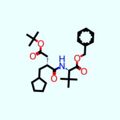 CC(C)(C)OC(=O)C[C@@H](CC1CCCC1)C(=O)N[C@H](C(=O)OCc1ccccc1)C(C)(C)C